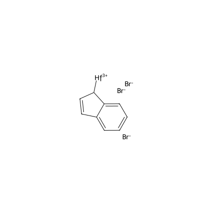 [Br-].[Br-].[Br-].[Hf+3][CH]1C=Cc2ccccc21